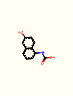 O=C(O)Nc1cccc2cc(O)ccc12